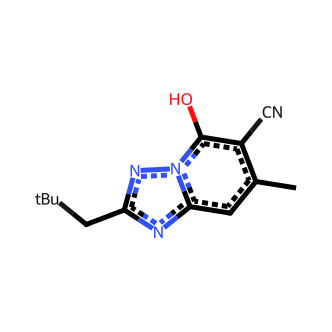 Cc1cc2nc(CC(C)(C)C)nn2c(O)c1C#N